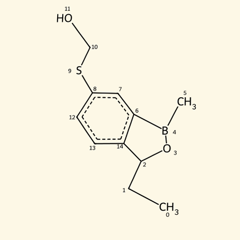 CCC1OB(C)c2cc(SCO)ccc21